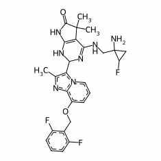 Cc1nc2c(OCc3c(F)cccc3F)cccn2c1C1N=C(NCC2(N)CC2F)C2=C(NC(=O)C2(C)C)N1